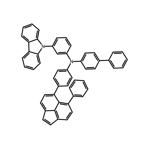 C1=Cc2ccc(-c3ccc(N(c4ccc(-c5ccccc5)cc4)c4cccc(-n5c6ccccc6c6ccccc65)c4)cc3)c3c(-c4ccccc4)ccc1c23